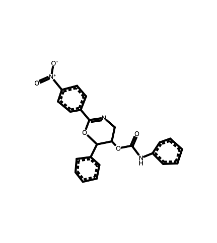 O=C(Nc1ccccc1)OC1CN=C(c2ccc([N+](=O)[O-])cc2)OC1c1ccccc1